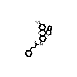 Nc1ccc2c(c1)Oc1cc(NC(=O)CCc3ccccc3)ccc1C21OCc2ccccc21